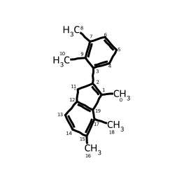 CC1=C(c2cccc(C)c2C)[CH]c2ccc(C)c(C)c21